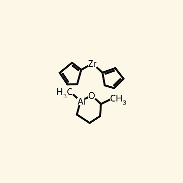 C1=CC[C]([Zr][C]2=CC=CC2)=C1.CC1CC[CH2][Al]([CH3])[O]1